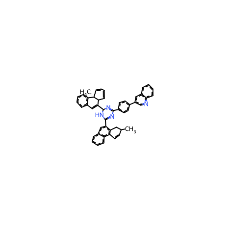 CC1C=Cc2c(c(C3=NC(c4ccc(-c5cnc6ccccc6c5)cc4)=NC(C4=Cc5ccccc5[C@@]5(C)C=CC=CC45)N3)cc3ccccc23)C1